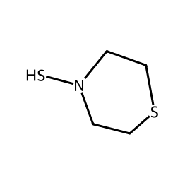 SN1CCSCC1